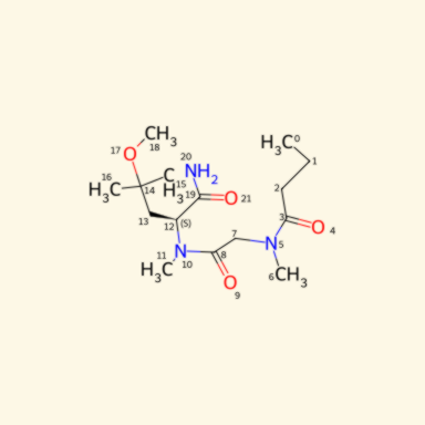 CCCC(=O)N(C)CC(=O)N(C)[C@@H](CC(C)(C)OC)C(N)=O